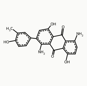 Cc1cc(-c2cc(O)c3c(c2N)C(=O)c2c(O)ccc(N)c2C3=O)ccc1O